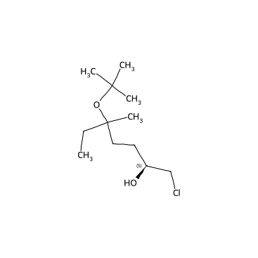 CCC(C)(CC[C@H](O)CCl)OC(C)(C)C